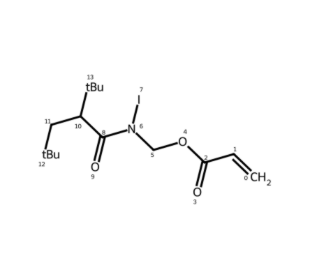 C=CC(=O)OCN(I)C(=O)C(CC(C)(C)C)C(C)(C)C